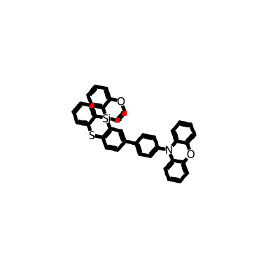 c1ccc2c(c1)Oc1ccccc1N2c1ccc(-c2ccc3c(c2)[Si]2(c4ccccc4Oc4ccccc42)c2ccccc2S3)cc1